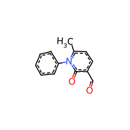 Cc1ccc(C=O)c(=O)n1-c1ccccc1